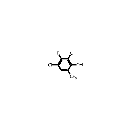 Oc1c(C(F)(F)F)cc(Cl)c(F)c1Cl